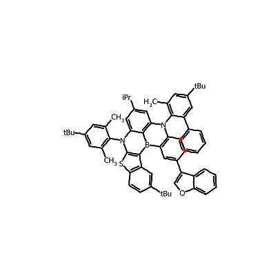 Cc1cc(C(C)(C)C)cc(C)c1N1c2cc(C(C)C)cc3c2B(c2cc(-c4coc5ccccc45)ccc2N3c2c(C)cc(C(C)(C)C)cc2-c2ccccc2)c2c1sc1ccc(C(C)(C)C)cc21